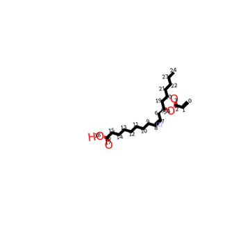 C=CC(=O)O[C@@H](C/C=C\CCCCCCCC(=O)O)CCCCCC